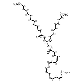 CCCCC/C=C\C/C=C\C/C=C\C/C=C\C/C=C\CCC(=O)OC[C@H](COC(=O)CCCCCCCCCCCCCCCCCCCCC)OCCCCCCCCCCCCCCCCCC